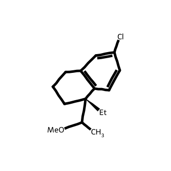 CC[C@@]1(C(C)OC)CCCc2cc(Cl)ccc21